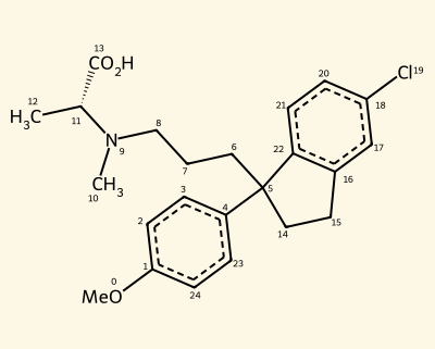 COc1ccc(C2(CCCN(C)[C@H](C)C(=O)O)CCc3cc(Cl)ccc32)cc1